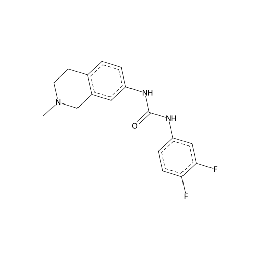 CN1CCc2ccc(NC(=O)Nc3ccc(F)c(F)c3)cc2C1